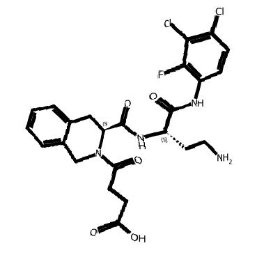 NCC[C@H](NC(=O)[C@@H]1Cc2ccccc2CN1C(=O)CCC(=O)O)C(=O)Nc1ccc(Cl)c(Cl)c1F